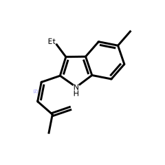 C=C(C)/C=C\c1[nH]c2ccc(C)cc2c1CC